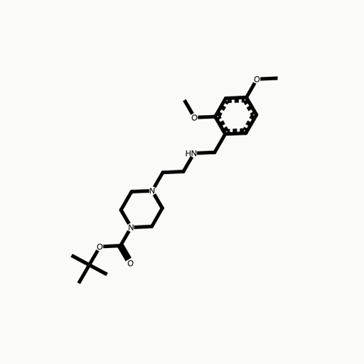 COc1ccc(CNCCN2CCN(C(=O)OC(C)(C)C)CC2)c(OC)c1